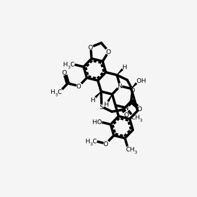 COc1c(C)cc2c(c1O)C1[C@@H]3[C@@H]4SCC(=O)C(=O)OC[C@@H](c5c6c(c(C)c(OC(C)=O)c54)OCO6)N3[C@@H](O)C(C2)N1C